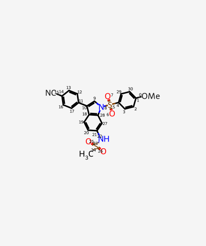 COc1ccc(S(=O)(=O)n2cc(-c3ccc(C#N)cc3)c3ccc(NS(C)(=O)=O)cc32)cc1